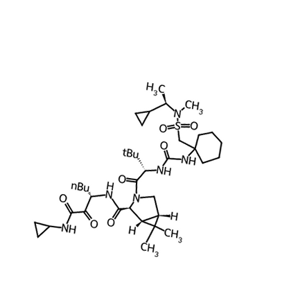 CCCC[C@H](NC(=O)[C@@H]1[C@@H]2[C@H](CN1C(=O)[C@@H](NC(=O)NC1(CS(=O)(=O)N(C)[C@H](C)C3CC3)CCCCC1)C(C)(C)C)C2(C)C)C(=O)C(=O)NC1CC1